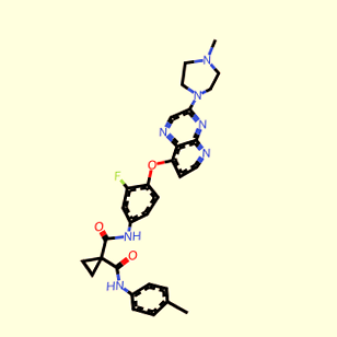 Cc1ccc(NC(=O)C2(C(=O)Nc3ccc(Oc4ccnc5nc(N6CCN(C)CC6)cnc45)c(F)c3)CC2)cc1